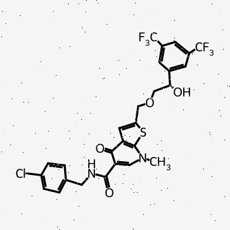 Cn1cc(C(=O)NCc2ccc(Cl)cc2)c(=O)c2cc(COC[C@@H](O)c3cc(C(F)(F)F)cc(C(F)(F)F)c3)sc21